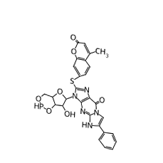 Cc1cc(=O)oc2cc(Sc3nc4c(=O)n5cc(-c6ccccc6)[nH]c5nc4n3C3OC4COPOC4C3O)ccc12